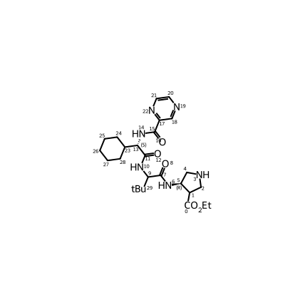 CCOC(=O)C1CNC[C@@H]1NC(=O)C(NC(=O)[C@@H](NC(=O)c1cnccn1)C1CCCCC1)C(C)(C)C